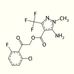 Cn1nc(C(F)(F)F)c(C(=O)OCC(=O)c2c(F)cccc2Cl)c1N